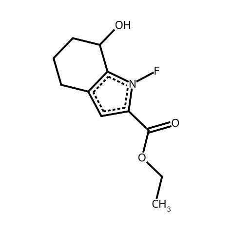 CCOC(=O)c1cc2c(n1F)C(O)CCC2